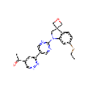 CCSc1ccc2c(c1)N(c1ncc(-c3cc(C(C)=O)cnn3)cn1)CC21COC1